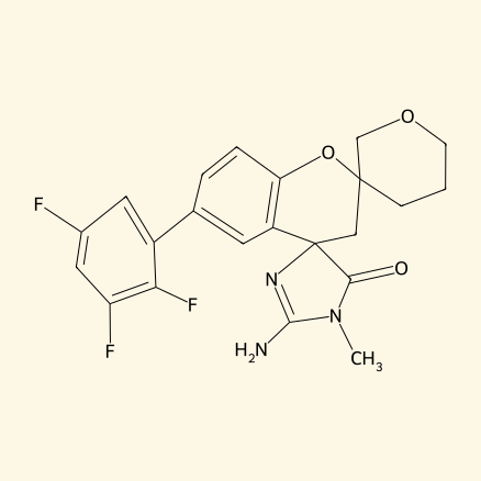 CN1C(=O)C2(CC3(CCCOC3)Oc3ccc(-c4cc(F)cc(F)c4F)cc32)N=C1N